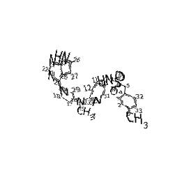 Cc1ccc(CS(=O)(=O)Nc2ccc(N(C)[C@@H]3CCN(c4ncnc5[nH]ccc45)C3)nc2)cc1